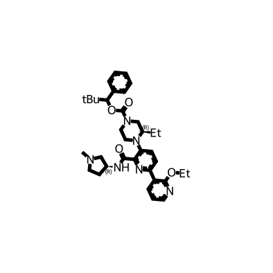 CCOc1ncccc1-c1ccc(N2CCN(C(=O)OC(c3ccccc3)C(C)(C)C)C[C@H]2CC)c(C(=O)N[C@@H]2CCN(C)C2)n1